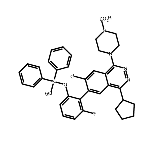 CC(C)(C)[Si](Oc1cccc(F)c1-c1cc2c(C3CCCC3)nnc(N3CCN(C(=O)O)CC3)c2cc1Cl)(c1ccccc1)c1ccccc1